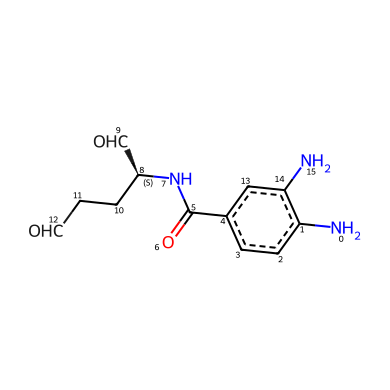 Nc1ccc(C(=O)N[C@H](C=O)CCC=O)cc1N